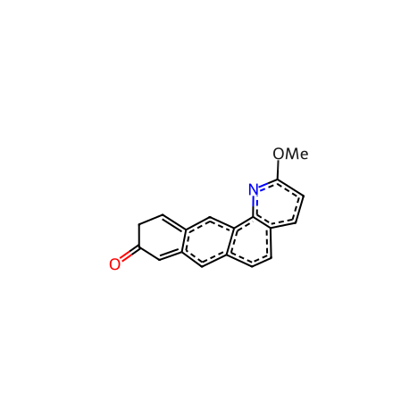 COc1ccc2ccc3cc4c(cc3c2n1)=CCC(=O)C=4